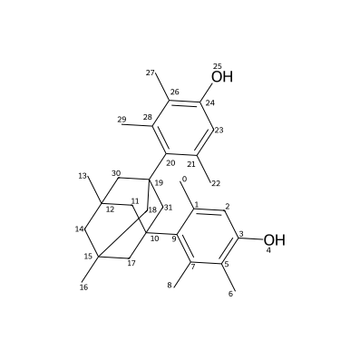 Cc1cc(O)c(C)c(C)c1C12CC3(C)CC(C)(C1)CC(c1c(C)cc(O)c(C)c1C)(C3)C2